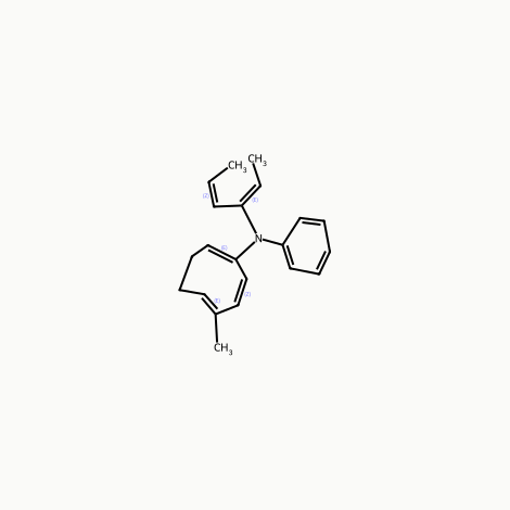 C/C=C\C(=C/C)N(C1=C/CC/C=C(C)/C=C\1)c1ccccc1